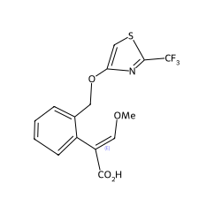 CO/C=C(/C(=O)O)c1ccccc1COc1csc(C(F)(F)F)n1